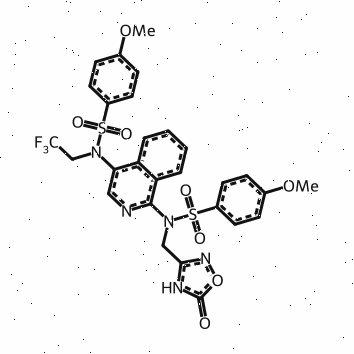 COc1ccc(S(=O)(=O)N(CC(F)(F)F)c2cnc(N(Cc3noc(=O)[nH]3)S(=O)(=O)c3ccc(OC)cc3)c3ccccc23)cc1